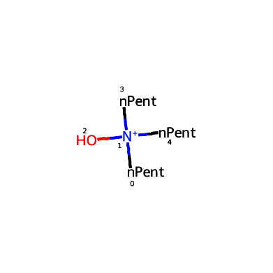 CCCCC[N+](O)(CCCCC)CCCCC